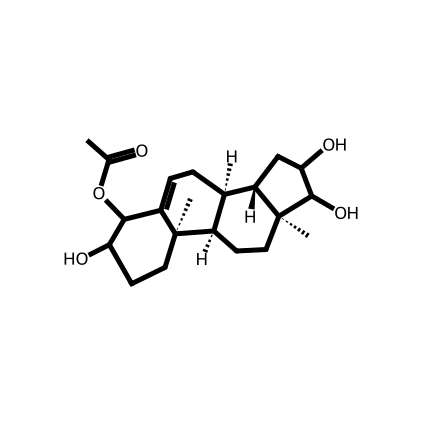 CC(=O)OC1C2=CC[C@@H]3[C@@H](CC[C@]4(C)C(O)C(O)C[C@@H]34)[C@@]2(C)CCC1O